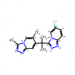 CC(C)c1nnc2cc(C(C)(C)c3nnc4ccc(F)cn34)c(C(F)(F)F)cn12